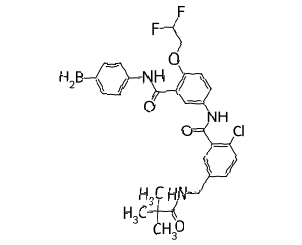 Bc1ccc(NC(=O)c2cc(NC(=O)c3cc(CNC(=O)C(C)(C)C)ccc3Cl)ccc2OCC(F)F)cc1